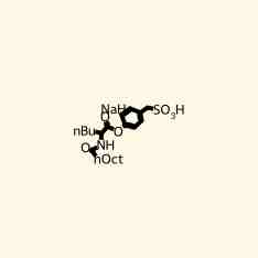 CCCCCCCCC(=O)NC(CCCC)C(=O)Oc1ccc(CS(=O)(=O)O)cc1.[NaH]